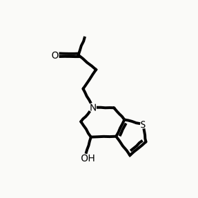 CC(=O)CCN1Cc2sccc2C(O)C1